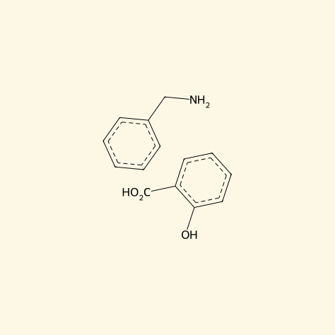 NCc1ccccc1.O=C(O)c1ccccc1O